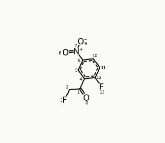 O=C(CF)c1cc([N+](=O)[O-])ccc1F